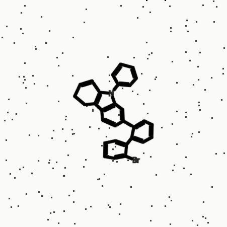 Brc1ccccc1-c1ccccc1-c1ccc2c3c(n(-c4ccccc4)c2c1)C=CCC3